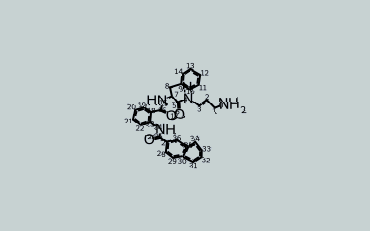 NCCCNC(=O)C(Cc1ccccc1)NC(=O)c1ccccc1NC(=O)c1ccc2ccccc2c1